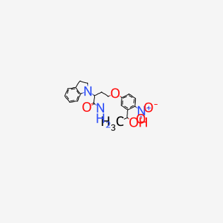 CC(O)c1cc(OCCC(C(N)=O)N2CCc3ccccc32)ccc1[N+](=O)[O-]